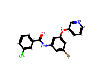 O=C(Nc1cc(Br)cc(Oc2cccnc2)c1)c1cccc(Cl)c1